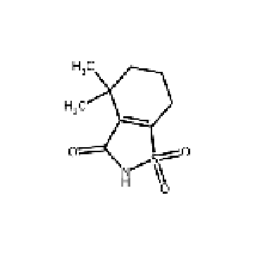 CC1(C)CCCC2=C1C(=O)NS2(=O)=O